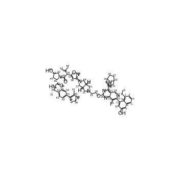 CCc1cccc2cc(O)cc(-c3ncc4c(N5CC6CCC(C5)N6)nc(OCCN5C[C@@H]6CN(c7cc([C@@H](C(=O)N8C[C@H](O)C[C@H]8C(=O)N[C@@H](C)c8ccc(-c9scnc9C)cc8)C(C)C)on7)C[C@@H]6C5)nc4c3F)c12